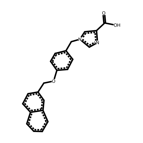 O=C(O)c1cn(Cc2ccc(OCc3ccc4ccccc4c3)cc2)cn1